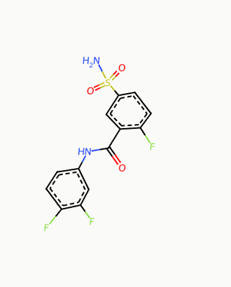 NS(=O)(=O)c1ccc(F)c(C(=O)Nc2ccc(F)c(F)c2)c1